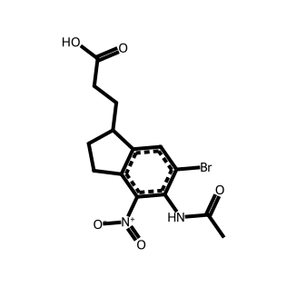 CC(=O)Nc1c(Br)cc2c(c1[N+](=O)[O-])CCC2CCC(=O)O